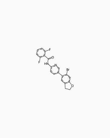 O=C(Nc1ccc(-c2cc3c(cc2Br)OCC3)cn1)c1c(F)cccc1F